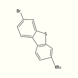 CC(C)(C)c1ccc2c(c1)sc1cc(Br)ccc12